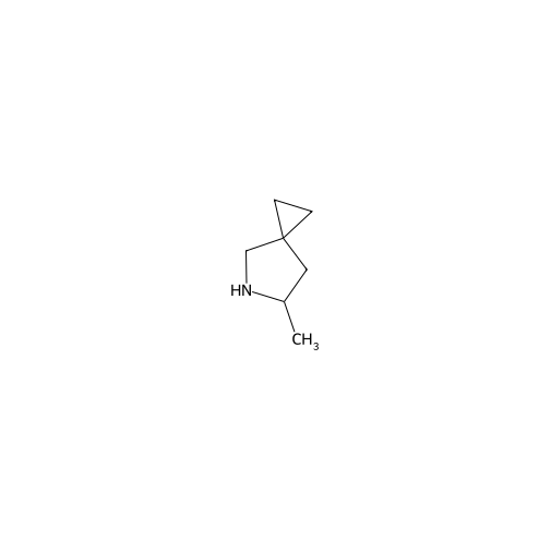 CC1CC2(CC2)CN1